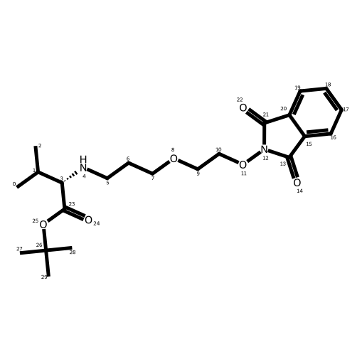 CC(C)[C@H](NCCCOCCON1C(=O)c2ccccc2C1=O)C(=O)OC(C)(C)C